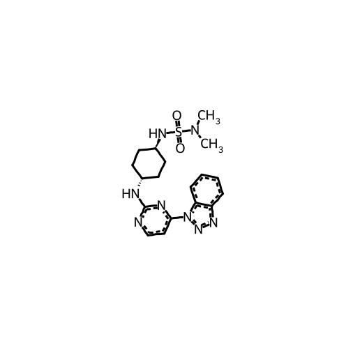 CN(C)S(=O)(=O)N[C@H]1CC[C@H](Nc2nccc(-n3nnc4ccccc43)n2)CC1